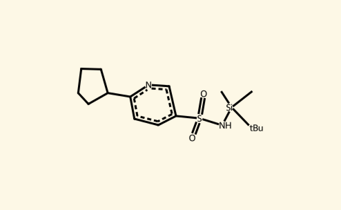 CC(C)(C)[Si](C)(C)NS(=O)(=O)c1ccc(C2CCCC2)nc1